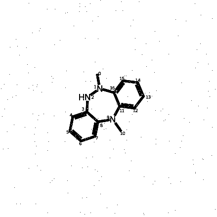 Cn1[nH]c2ccccc2n(C)c2ccccc21